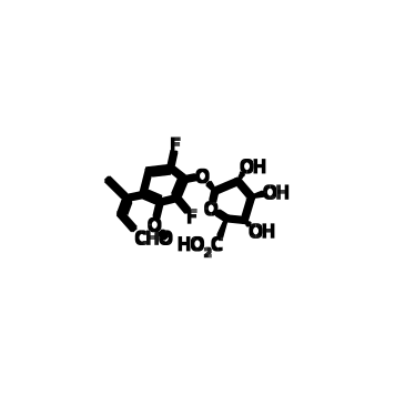 C/C=C(/C)c1cc(F)c(O[C@@H]2O[C@H](C(=O)O)[C@@H](O)[C@H](O)[C@H]2O)c(F)c1OC=O